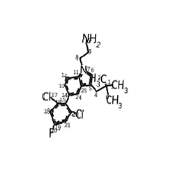 CC(C)(C)Cc1cn(CCN)c2ccc(-c3c(Cl)cc(F)cc3Cl)cc12